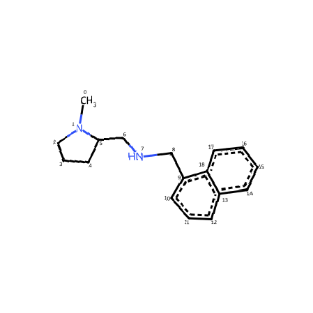 CN1CCCC1CNCc1cccc2ccccc12